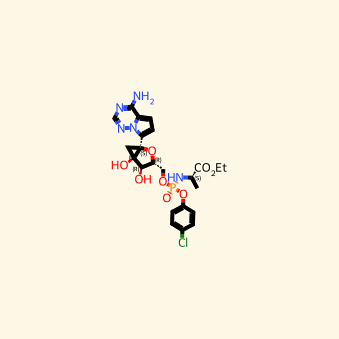 CCOC(=O)[C@H](C)NP(=O)(OC[C@H]1O[C@]2(c3ccc4c(N)ncnn34)C[C@@]2(O)[C@@H]1O)Oc1ccc(Cl)cc1